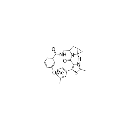 COc1cccc(C(=O)NCC2CC3C[C@@H]3N2C(=O)c2nc(C)sc2-c2cccc(C)c2)c1